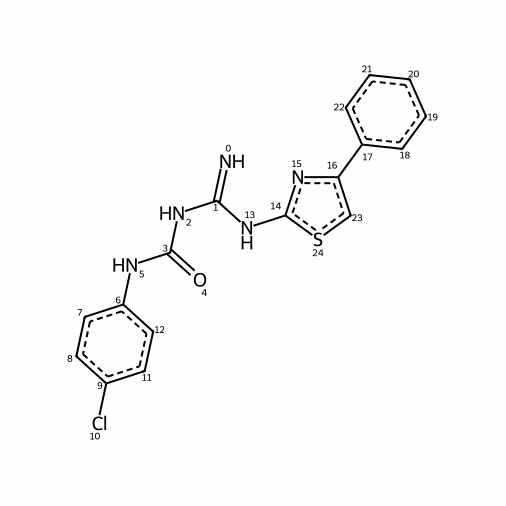 N=C(NC(=O)Nc1ccc(Cl)cc1)Nc1nc(-c2ccccc2)cs1